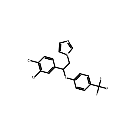 FC(F)(F)c1ccc(SC(Cn2ccnc2)c2ccc(Cl)c(Cl)c2)cc1